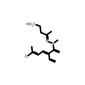 C=C/C(=C\C=C(/C)Cl)C(=C)N(C)/N=C(\C)CCC(=O)O